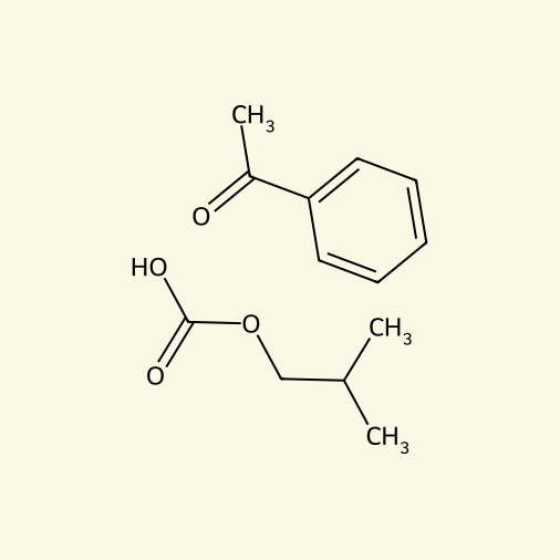 CC(=O)c1ccccc1.CC(C)COC(=O)O